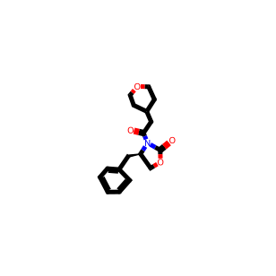 O=C(CC1CCOCC1)N1C(=O)OC[C@H]1Cc1ccccc1